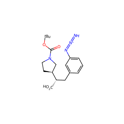 CC(C)(C)OC(=O)N1CC[C@H]([C@H](Cc2cccc(N=[N+]=N)c2)C(=O)O)C1